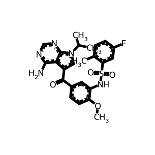 COc1ccc(C(=O)c2cn(C(C)C)c3ncnc(N)c23)cc1NS(=O)(=O)c1cc(F)ccc1C